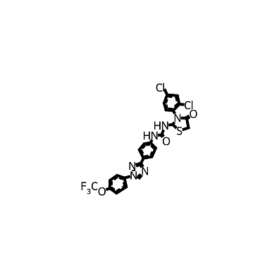 O=C(Nc1ccc(-c2ncn(-c3ccc(OC(F)(F)F)cc3)n2)cc1)NC1SCC(=O)N1c1ccc(Cl)cc1Cl